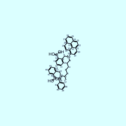 CC(CCCCCN(Cc1ccccc1B(O)O)c1ccc2ccc3cccc4ccc1c2c34)N(Cc1ccccc1)Cc1ccccc1B(O)O